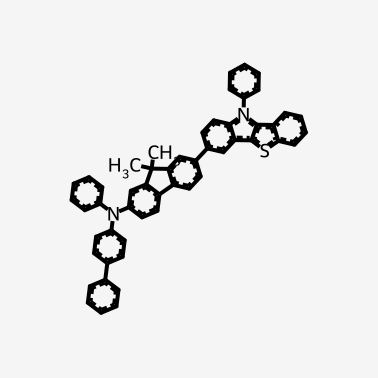 CC1(C)c2cc(-c3ccc4c(c3)c3sc5ccccc5c3n4-c3ccccc3)ccc2-c2ccc(N(c3ccccc3)c3ccc(-c4ccccc4)cc3)cc21